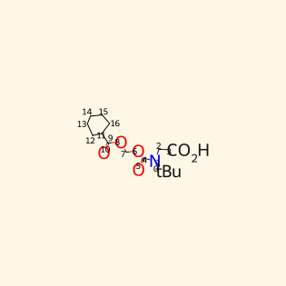 CC(C)(C)N(CC(=O)O)C(=O)OCOC(=O)C1CCCCC1